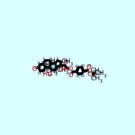 C[C@@H]1C[C@H]2[C@@H]3CCC4=CC(=O)C=C[C@]4(C)[C@@]3(F)[C@@H](O)C[C@]2(C)[C@@]1(O)C(=O)COC(=O)c1ccc(C(=O)OC(C)(C)C)cc1